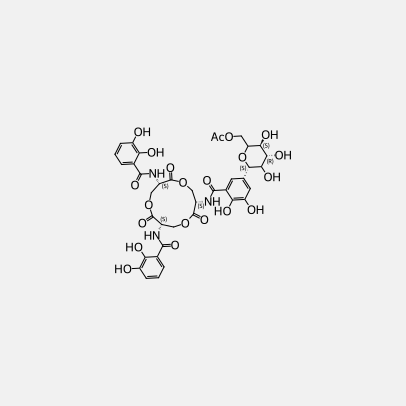 CC(=O)OCC1O[C@@H](c2cc(O)c(O)c(C(=O)N[C@H]3COC(=O)[C@@H](NC(=O)c4cccc(O)c4O)COC(=O)[C@@H](NC(=O)c4cccc(O)c4O)COC3=O)c2)C(O)[C@@H](O)[C@@H]1O